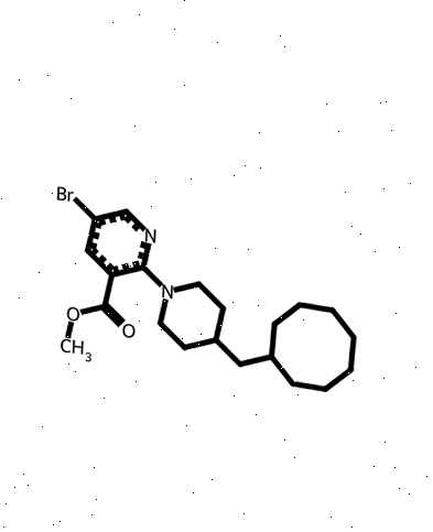 COC(=O)c1cc(Br)cnc1N1CCC(CC2CCCCCCC2)CC1